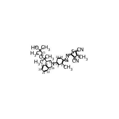 Cc1cc(N(CCC(C)(C)OCC(C)(C)O)Cc2ccccc2)ccc1/N=N/c1sc(C#N)c(C)c1C#N